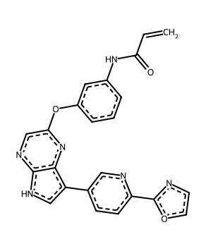 C=CC(=O)Nc1cccc(Oc2cnc3[nH]cc(-c4ccc(-c5ncco5)nc4)c3n2)c1